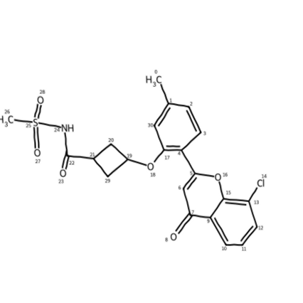 Cc1ccc(-c2cc(=O)c3cccc(Cl)c3o2)c(OC2CC(C(=O)NS(C)(=O)=O)C2)c1